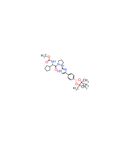 COC(=O)NC(C(=O)N1CCC[C@H]1c1nc(-c2ccc(B3OC(C)(C)C(C)(C)O3)cc2)c[nH]1)C1CCCC1